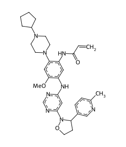 C=CC(=O)Nc1cc(Nc2cc(N3OCCC3c3ccc(C)nc3)ncn2)c(OC)cc1N1CCN(C2CCCC2)CC1